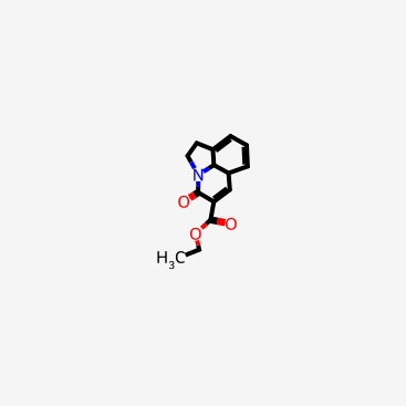 CCOC(=O)C1=CC2C=CC=C3CCN(C1=O)C32